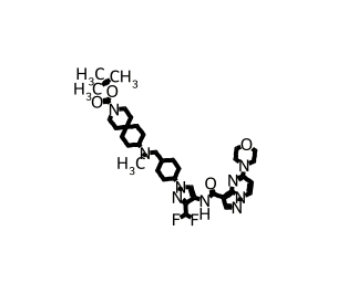 CN(CC1CCC(n2cc(NC(=O)c3cnn4ccc(N5CCOCC5)nc34)c(C(F)F)n2)CC1)C1CCC2(CC1)CCN(C(=O)OC(C)(C)C)CC2